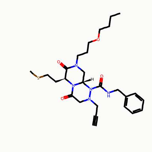 C#CCN1CC(=O)N2[C@@H](CCSC)C(=O)N(CCCOCCCC)C[C@@H]2N1C(=O)NCc1ccccc1